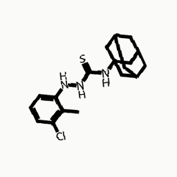 Cc1c(Cl)cccc1NNC(=S)NC12CC3CC(CC(C3)C1)C2